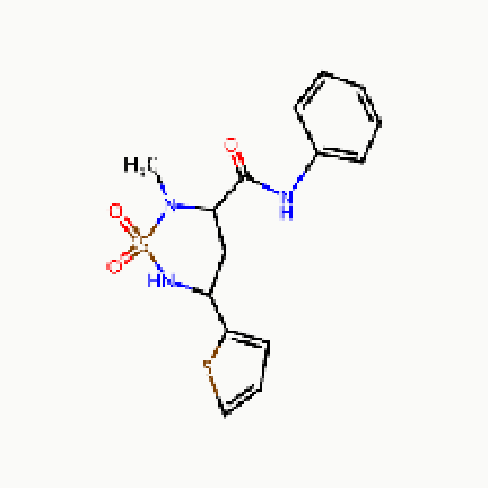 CN1C(C(=O)Nc2ccccc2)CC(c2cccs2)NS1(=O)=O